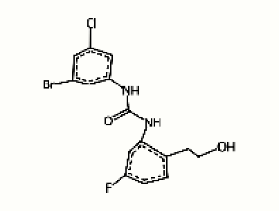 O=C(Nc1cc(Cl)cc(Br)c1)Nc1cc(F)ccc1CCO